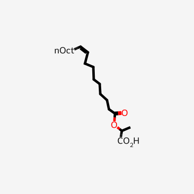 CCCCCCCC/C=C\CCCCCCCC(=O)OC(C)C(=O)O